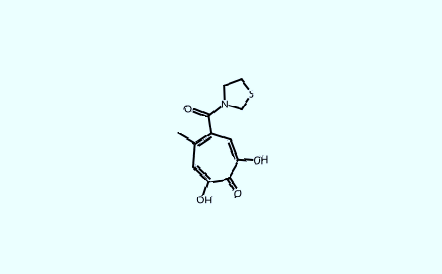 Cc1cc(O)c(=O)c(O)cc1C(=O)N1CCSC1